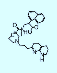 O=C(O)C(CNC(=O)[C@@H]1CCCN(CCCc2ccc3c(n2)NCCC3)C1)c1cccc2ccccc12